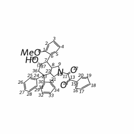 COc1ccccc1C1C2CN(C(=O)C(=O)c3ccccc3)CC2C(c2ccccc2)(c2ccccc2)C[C@@H]1O